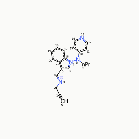 C#CC/N=C/c1cn(N(CCC)c2ccncc2)c2ccccc12